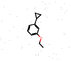 CCOc1cc[c]c(C2CC2)c1